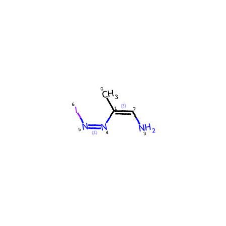 CC(=C/N)/N=N\I